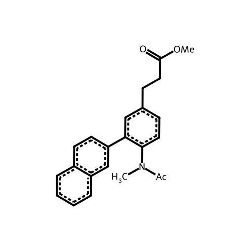 COC(=O)CCc1ccc(N(C)C(C)=O)c(-c2ccc3ccccc3c2)c1